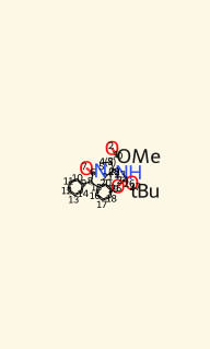 COC(=O)[C@H]1CN(C(=O)C(c2ccccc2)c2ccccc2)C[C@@H]1NC(=O)OC(C)(C)C